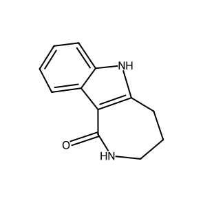 O=C1NCCCc2[nH]c3ccccc3c21